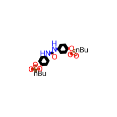 CCCCS(=O)(=O)Oc1ccc(NC(=O)Nc2ccc(OS(=O)(=O)CCCC)cc2)cc1